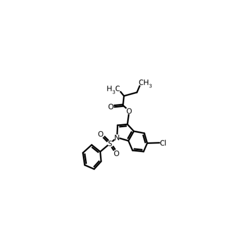 CCC(C)C(=O)Oc1cn(S(=O)(=O)c2ccccc2)c2ccc(Cl)cc12